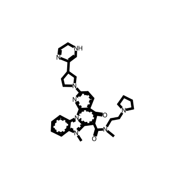 CN(CCN1CCCC1)C(=O)c1c(=O)c2ccc(N3CCC(C4=CNCC=N4)C3)nc2n2c3ccccc3n(C)c12